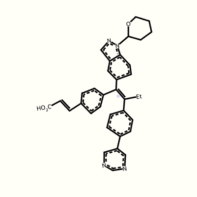 CC/C(=C(/c1ccc(C=CC(=O)O)cc1)c1ccc2c(cnn2C2CCCCO2)c1)c1ccc(-c2cncnc2)cc1